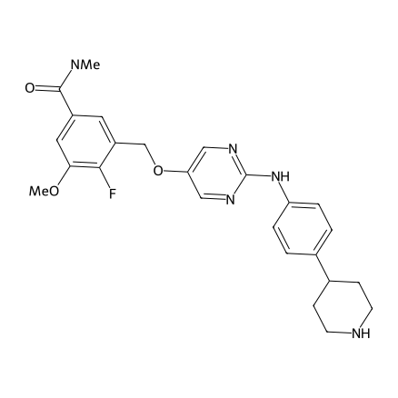 CNC(=O)c1cc(COc2cnc(Nc3ccc(C4CCNCC4)cc3)nc2)c(F)c(OC)c1